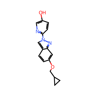 Oc1ccc(-n2cc3ccc(OCC4CC4)cc3n2)nc1